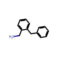 NCc1ccccc1Cc1ccccc1